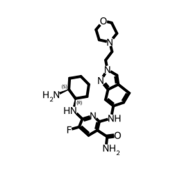 NC(=O)c1cc(F)c(N[C@@H]2CCCC[C@@H]2N)nc1Nc1ccc2cn(CCN3CCOCC3)nc2c1